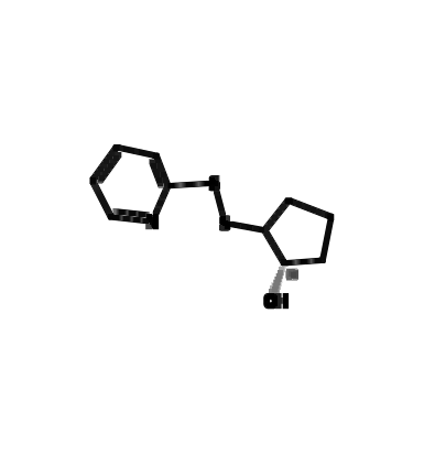 O[C@H]1CCCC1SSc1ccccn1